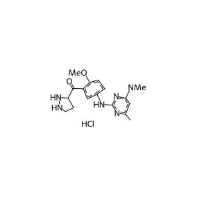 CNc1cc(C)nc(Nc2ccc(OC)c(C(=O)C3CCNN3)c2)n1.Cl